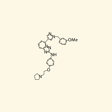 COc1cccc(Cn2cc(-c3cccc4nc(Nc5ccc(OCCN6CCCC6)cc5)nn34)cn2)c1